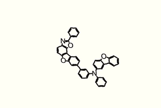 c1ccc(-c2nc3ccc4oc5cc(-c6cccc(N(c7ccccc7)c7ccc8oc9ccccc9c8c7)c6)ccc5c4c3o2)cc1